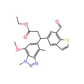 CCOC(=O)CC(c1cc(C=O)c2sccc2c1)c1cc(OC)c2c(nnn2C)c1C